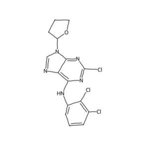 Clc1nc(Nc2cccc(Cl)c2Cl)c2ncn(C3CCCO3)c2n1